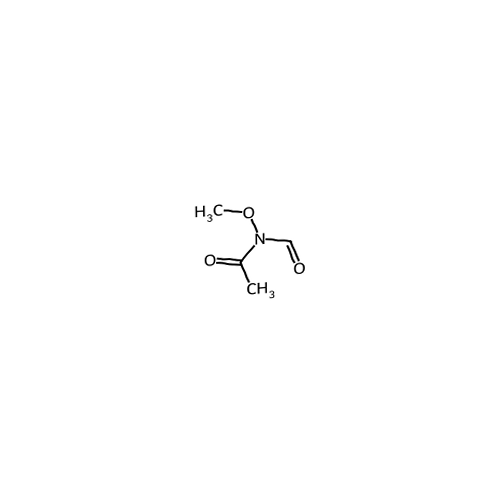 CON(C=O)C(C)=O